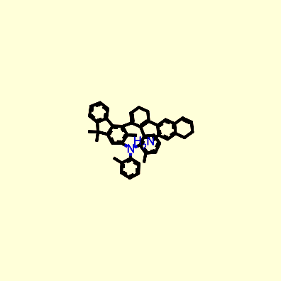 Cc1ccccc1N1c2cc3c(c(c2C)C2=CCCC(c4cc5c(cc4N)CCC=C5)=C2c2cccc(C)c21)-c1ccccc1C3(C)C